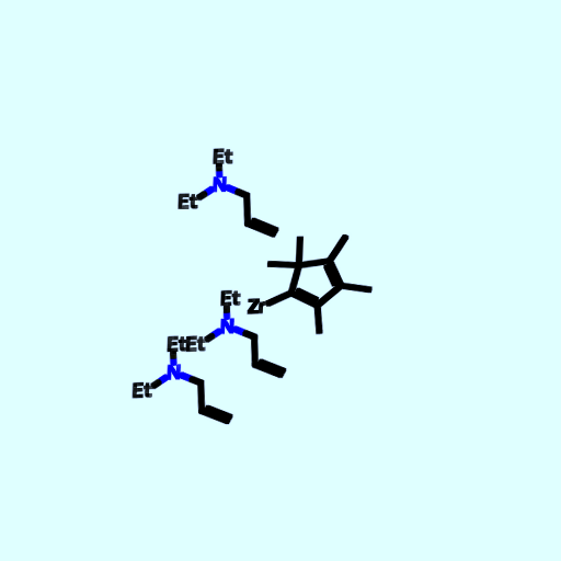 C=CCN(CC)CC.C=CCN(CC)CC.C=CCN(CC)CC.CC1=C(C)C(C)(C)[C]([Zr])=C1C